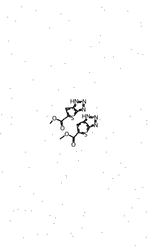 COC(=O)c1cc2[nH]nnc2s1.COC(=O)c1cc2[nH]nnc2s1